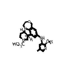 CCOc1ncc(C)cc1Nc1cc2c3c(c1)[C@@H]1CN(C(=O)O)CC[C@@H]1N3CCOC2